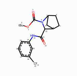 CC(C)(C)OC(=O)N1C2CCC(C2)C1C(=O)Nc1cccc(C(F)(F)F)c1